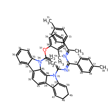 C=C(/N=C(\N=C(/C)c1ccc(C)cc1)c1ccc(C)cc1)n1c2c(c3ccc4c5ccccc5n(C(=C)Oc5ccccc5C)c4c31)=CCCC=2